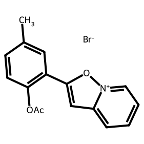 CC(=O)Oc1ccc(C)cc1-c1cc2cccc[n+]2o1.[Br-]